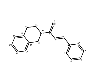 N=C(C=Cc1ccccc1)N1CCc2ccccc2C1